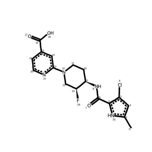 Cc1cc(Cl)c(C(=O)N[C@@H]2CCN(c3cc(C(=O)O)ccn3)C[C@@H]2F)[nH]1